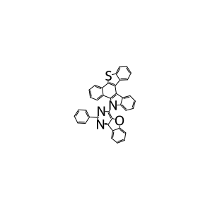 c1ccc(-c2nc(-n3c4ccccc4c4c5c6ccccc6sc5c5ccccc5c43)c3oc4ccccc4c3n2)cc1